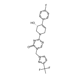 CC(F)(F)c1ccn(Cn2cnc(N3CC=C(c4ccc(F)cc4)[C@@H](O)C3)nc2=O)n1